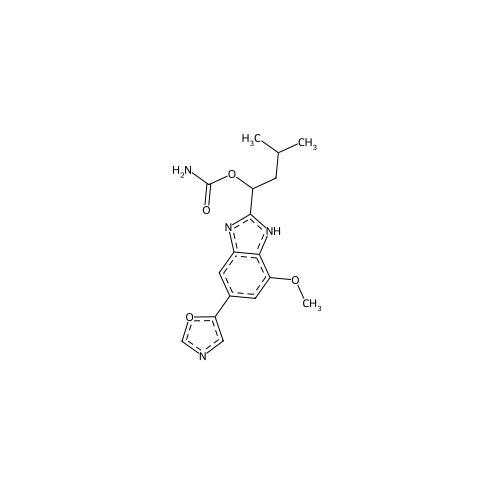 COc1cc(-c2cnco2)cc2nc(C(CC(C)C)OC(N)=O)[nH]c12